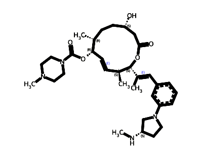 CN[C@H]1CCN(c2cccc(/C=C(\C)[C@H]3OC(=O)C[C@@H](O)CC[C@@H](C)[C@@H](OC(=O)N4CCN(C)CC4)/C=C/[C@@H]3C)c2)C1